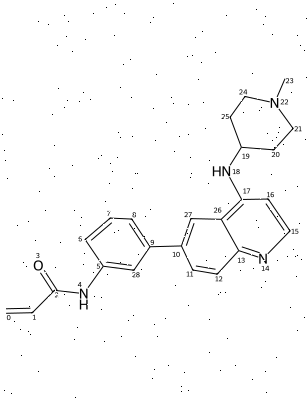 C=CC(=O)Nc1cccc(-c2ccc3nccc(NC4CCN(C)CC4)c3c2)c1